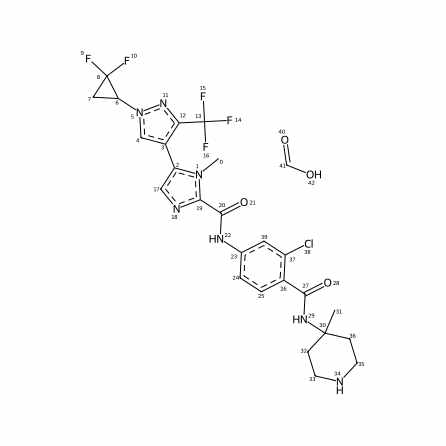 Cn1c(-c2cn(C3CC3(F)F)nc2C(F)(F)F)cnc1C(=O)Nc1ccc(C(=O)NC2(C)CCNCC2)c(Cl)c1.O=CO